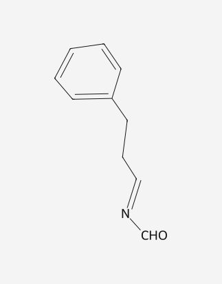 O=CN=CCCc1ccccc1